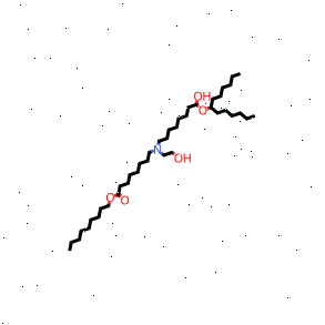 CCCCCCCCCOC(=O)CCCCCCCN(CCO)CCCCCCCC(O)OC(CCCCCC)CCCCCC